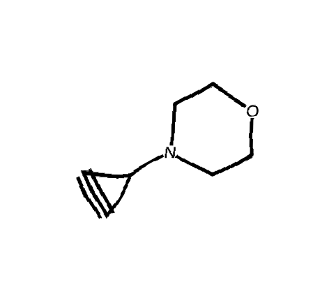 C1#CC1N1CCOCC1